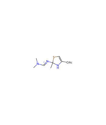 CC(=O)OC1=CSC(C)(/N=C/N(C)C)N1